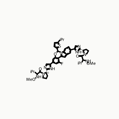 CONC(C(=O)N1CCC[C@H]1c1ncc(-c2cc(F)c3c(c2)OC(c2ccc(C(C)C)s2)n2c-3cc3cc(-c4cnc([C@@H]5CCCN5C(=O)C(NOC)C(C)C)[nH]4)ccc32)[nH]1)C(C)C